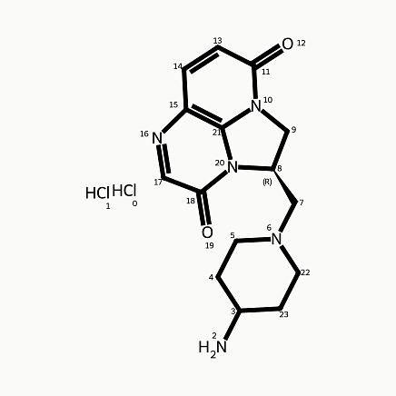 Cl.Cl.NC1CCN(C[C@@H]2Cn3c(=O)ccc4ncc(=O)n2c43)CC1